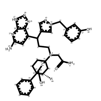 NC(=O)CN(CCC(c1cnn(Cc2cccc(O)c2)c1)c1cc(N)nc2[nH]nnc12)C12CCC(c3ccccc3)(CC1)[C@H](O)C2